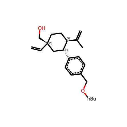 C=C[C@]1(CO)CC[C@@H](C(=C)C)[C@H](c2ccc(COCCCC)cc2)C1